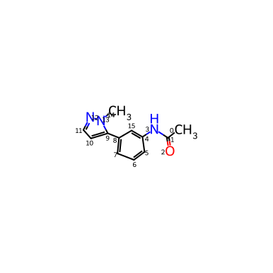 CC(=O)Nc1cccc(-c2ccnn2C)c1